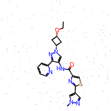 CCO[C@H]1C[C@@H](n2cc(NC(=O)c3csc(-c4cnn(C)c4)n3)c(-c3ccccn3)n2)C1